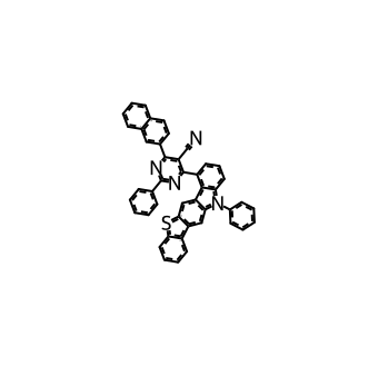 N#Cc1c(-c2ccc3ccccc3c2)nc(-c2ccccc2)nc1-c1cccc2c1c1cc3sc4ccccc4c3cc1n2-c1ccccc1